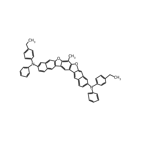 CCc1ccc(N(c2ccccc2)c2ccc3cc4c(cc3c2)oc2c(C)c3oc5cc6cc(N(c7ccccc7)c7ccc(CC)cc7)ccc6cc5c3cc24)cc1